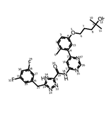 Cc1ccc(OCCCC(C)(C)O)cc1-c1cc(NC(=O)c2nnc(Cc3cc(F)cc(F)c3)[nH]2)ncn1